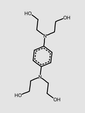 OCCN(CCO)c1ccc(N(CCO)CCO)cc1